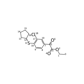 CCOC(=O)C(=O)c1ccc(SC2CCCC2)c(Cl)c1